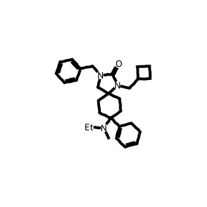 CCN(C)C1(C2=CC=CCC2)CCC2(CC1)CN(Cc1ccccc1)C(=O)N2CC1CCC1